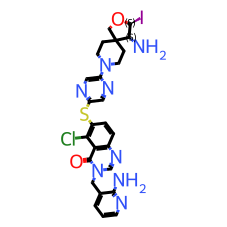 Nc1ncccc1Cn1cnc2ccc(Sc3cnc(N4CCC5(CC4)CO[C@@H](I)[C@H]5N)cn3)c(Cl)c2c1=O